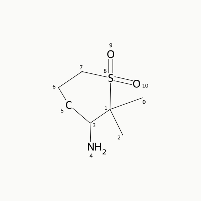 CC1(C)C(N)CCCS1(=O)=O